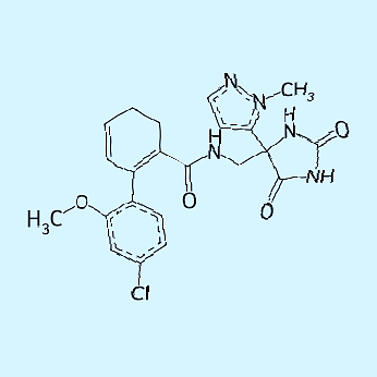 COc1cc(Cl)ccc1C1=C(C(=O)NCC2(c3ccnn3C)NC(=O)NC2=O)CCC=C1